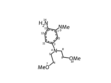 CNc1cc(N(CCOC)CCOC)ccc1N